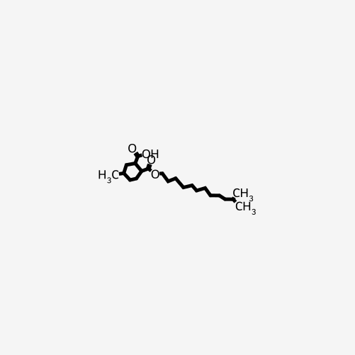 CC(C)CCCCCCCCCCOC(=O)C1CCC(C)CC1C(=O)O